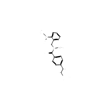 CCCCN(Cc1ccccc1N(CC)CC)C(=O)c1ccc(CCC(=O)O)cc1